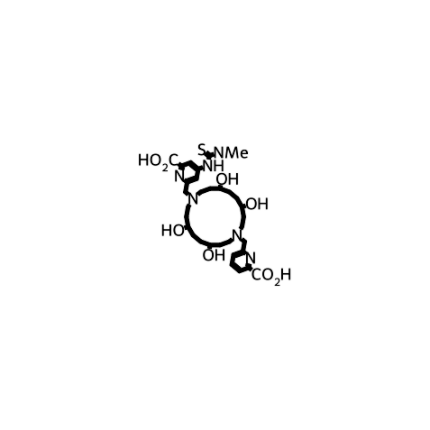 CNC(=S)Nc1cc(CN2CCC(O)CCC(O)CCN(Cc3cccc(C(=O)O)n3)CCC(O)CCC(O)CC2)nc(C(=O)O)c1